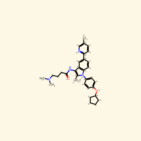 CN(C)CCCC(=O)Nc1c(C(=O)O)n(-c2ccc(OC3CCCC3)cc2)c2ccc(-c3ccc(C(F)(F)F)cn3)cc12